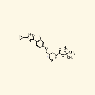 CC(C)(C)OC(=O)NC/C(=C\F)COc1ccc(-c2nc(C3CC3)no2)c(Cl)c1